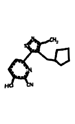 Cc1nsc(-c2ccc(O)c(C#N)n2)c1C[C]1CCCC1